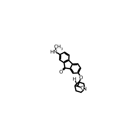 CNc1ccc2c(c1)C(=O)c1cc(O[C@@H]3CN4CCC3CC4)ccc1-2